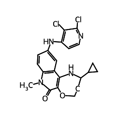 Cn1c(=O)c2c(c3cc(Nc4ccnc(Cl)c4Cl)ccc31)NC(C1CC1)CCO2